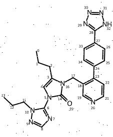 CCCc1cn(-c2ncnn2CCC)c(=O)n1Cc1cnccc1-c1ccc(-c2nnn[nH]2)cc1